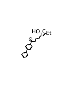 CCC(=CC=CCCC(=O)c1ccc(-c2ccccc2)cc1)C(=O)O